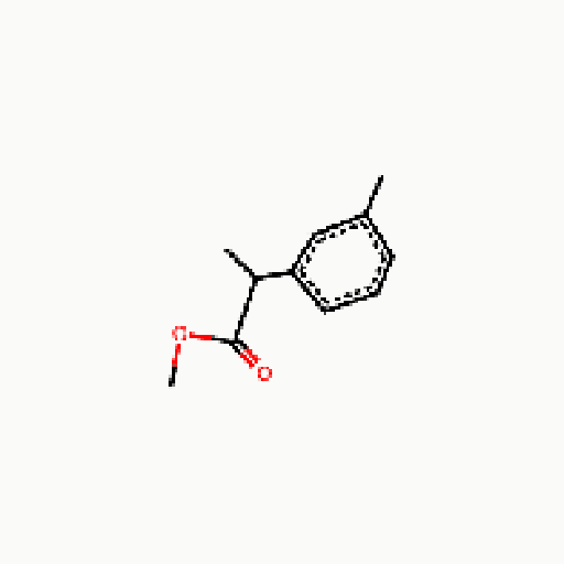 COC(=O)C(C)c1[c]c(C)ccc1